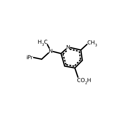 Cc1cc(C(=O)O)cc(N(C)CC(C)C)n1